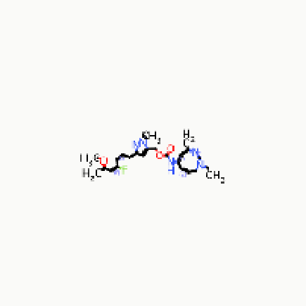 C=C1/C=C(NC(=O)OCc2cc(C/C=C\C(F)=C/C(=C)OC)nn2C)\C=C/CN(CC)/C=N\1